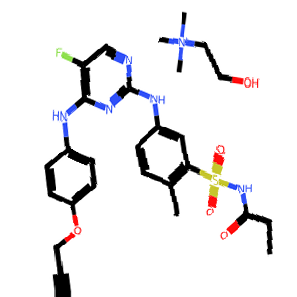 C#CCOc1ccc(Nc2nc(Nc3ccc(C)c(S(=O)(=O)NC(=O)CC)c3)ncc2F)cc1.C[N+](C)(C)CCO